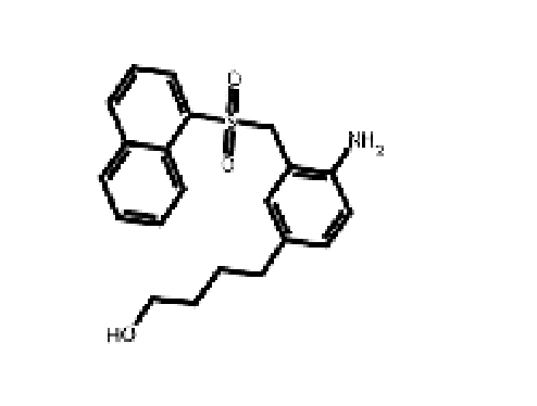 Nc1ccc(CCCCO)cc1CS(=O)(=O)c1cccc2ccccc12